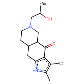 CCc1c(C)[nH]c2c1C(=O)C1CN(CC(O)C(C)(C)C)CCC1C2